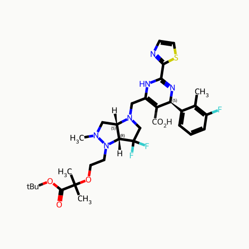 Cc1c(F)cccc1[C@@H]1N=C(c2nccs2)NC(CN2CC(F)(F)[C@H]3[C@@H]2CN(C)N3CCOC(C)(C)C(=O)OC(C)(C)C)=C1C(=O)O